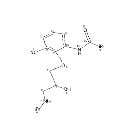 CC(C)NCC(O)COc1c(C#N)cccc1NC(=O)C(C)C